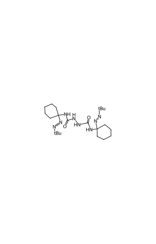 CC(C)(C)N=NC1(NC(=O)NNC(=O)NC2(N=NC(C)(C)C)CCCCC2)CCCCC1